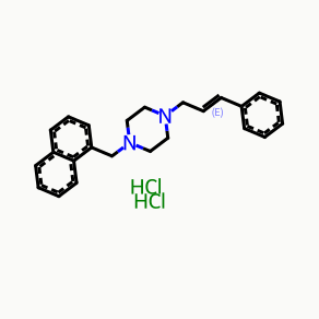 C(=C\c1ccccc1)/CN1CCN(Cc2cccc3ccccc23)CC1.Cl.Cl